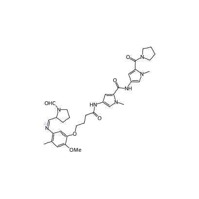 COc1cc(C)c(/N=C\C2CCCN2C=O)cc1OCCCC(=O)Nc1cc(C(=O)Nc2cc(C(=O)N3CCCC3)n(C)c2)n(C)c1